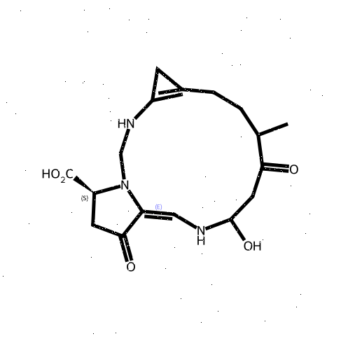 CC1CCC2=C(C2)NCN2/C(=C/NC(O)CC1=O)C(=O)C[C@H]2C(=O)O